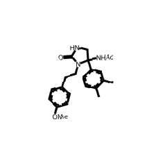 COc1ccc(CCN2C(=O)NCC2(NC(C)=O)c2ccc(C)c(C)c2)cc1